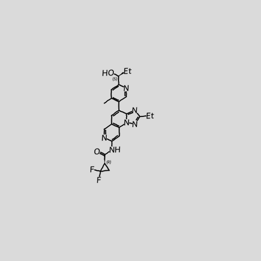 CCc1nc2c(-c3cnc([C@@H](O)CC)cc3C)cc3cnc(NC(=O)[C@H]4CC4(F)F)cc3n2n1